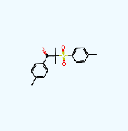 Cc1ccc(C(=O)C(C)(C)S(=O)(=O)c2ccc(C)cc2)cc1